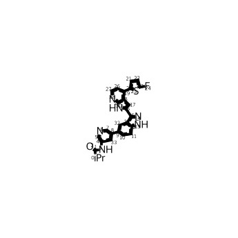 CC(C)C(=O)Nc1cncc(-c2ccc3[nH]nc(-c4cc5c(-c6ccc(F)s6)ccnc5[nH]4)c3c2)c1